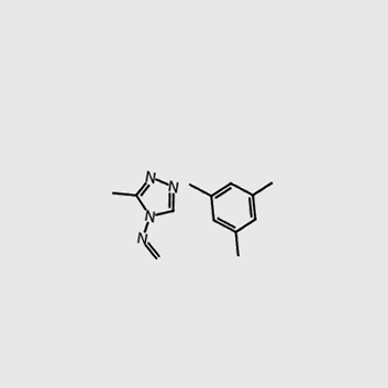 C=Nn1cnnc1C.Cc1cc(C)cc(C)c1